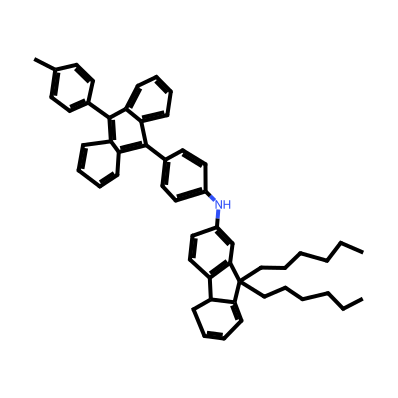 CCCCCCC1(CCCCCC)C2=CC=CCC2c2ccc(Nc3ccc(-c4c5ccccc5c(-c5ccc(C)cc5)c5ccccc45)cc3)cc21